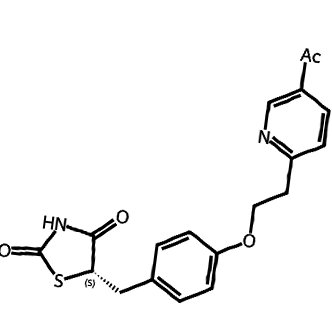 CC(=O)c1ccc(CCOc2ccc(C[C@@H]3SC(=O)NC3=O)cc2)nc1